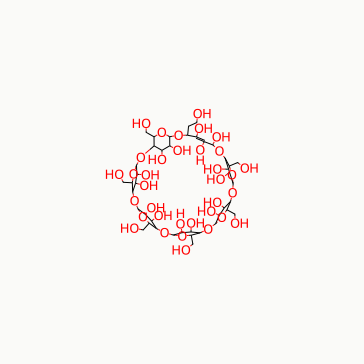 OCCC1OC2OC(CO)C(OC3OC(CO)C(OC4OC(CO)C(OC5OC(CO)C(OC6OC(CO)C(OC7OC(CO)C(OC(O)/C(O)=C/1O)C(O)C7O)C(O)C6O)C(O)C5O)C(O)C4O)C(O)C3O)C(O)C2O